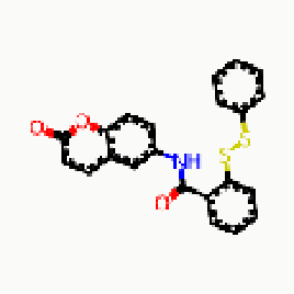 O=C(Nc1ccc2oc(=O)ccc2c1)c1ccccc1SSc1ccccc1